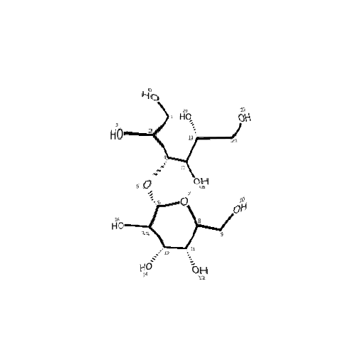 OCC(O)[C@@H](O[C@@H]1OC(CO)[C@H](O)[C@H](O)C1O)C(O)[C@H](O)CO